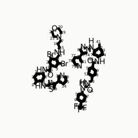 Cc1ccc(NC(=O)c2cc(Br)c(CNCCCN3CCOCC3)c(Br)c2)cc1Nc1nc(-c2cccnc2)cs1.Cc1ccc(NC(=O)c2ccc(CNC(=O)Nc3ccc(C(F)(F)F)cc3)cc2)cc1Nn1cc(-c2cccnc2)cn1